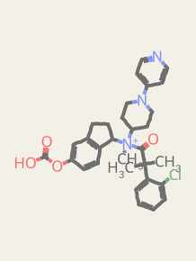 CC(C)(C(=O)[N+](C)(C1CCN(c2ccncc2)CC1)C1CCc2cc(OC(=O)O)ccc21)c1ccccc1Cl